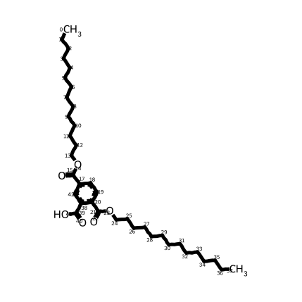 CCCCCCCCCCCCCCOC(=O)c1ccc(C(=O)OCCCCCCCCCCCCCC)c(C(=O)O)c1